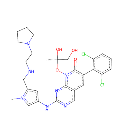 Cn1cc(Nc2ncc3cc(-c4c(Cl)cccc4Cl)c(=O)n(O[C@@](C)(O)CO)c3n2)cc1CNCCN1CCCC1